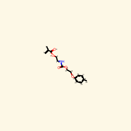 C=C(C)C(=O)OCCNC(=O)OCCOc1ccc(C)cc1